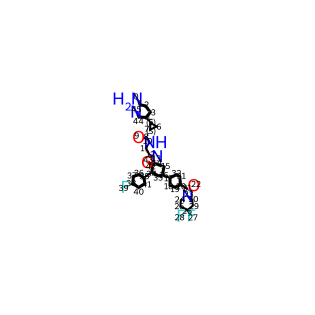 Nc1ccc([C@H]2C[C@@H]2C(=O)NCc2nc3cc(-c4ccc(C(=O)N5CCC(F)(F)CC5)cc4)cc(-c4ccc(F)cc4)c3o2)cn1